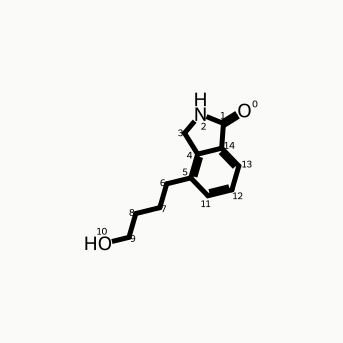 O=C1NCc2c(CCCCO)cccc21